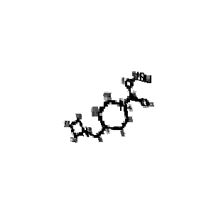 CC(C)(C)OC(=O)N1CCC(CN2CCC2)CC1